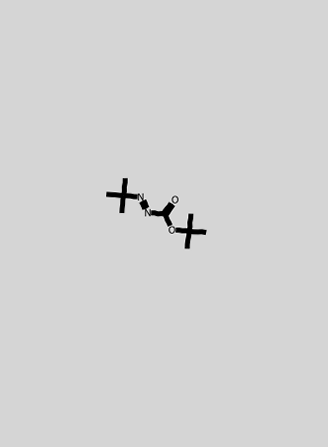 CC(C)(C)N=NC(=O)OC(C)(C)C